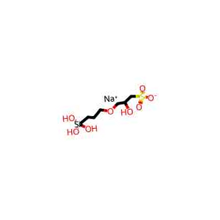 O=S(=O)([O-])CC(O)COCCC[Si](O)(O)O.[Na+]